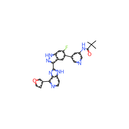 CC(C)(C)C(=O)Nc1cncc(-c2cc3c(-c4nc5c(-c6ccoc6)nccc5[nH]4)n[nH]c3cc2F)c1